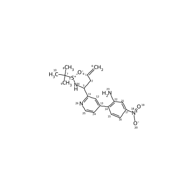 C=CCC(N[S@@+]([O-])C(C)(C)C)c1cc(-c2ccc([N+](=O)[O-])cc2N)ccn1